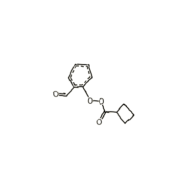 O=Cc1ccccc1OOC(=O)C1CCC1